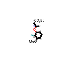 CCOC(=O)/C=C(\C)Oc1cccc(OC)c1F